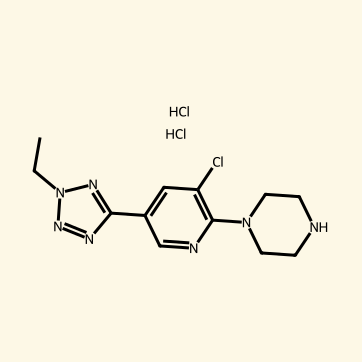 CCn1nnc(-c2cnc(N3CCNCC3)c(Cl)c2)n1.Cl.Cl